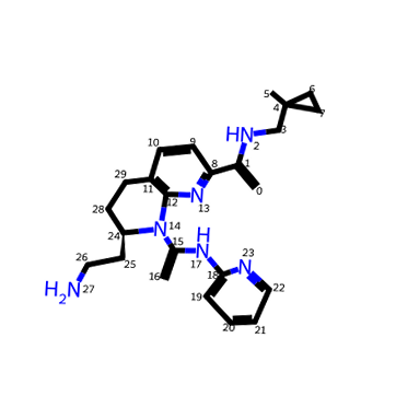 C=C(NCC1(C)CC1)c1ccc2c(n1)N(C(=C)Nc1ccccn1)[C@@H](CCN)CC2